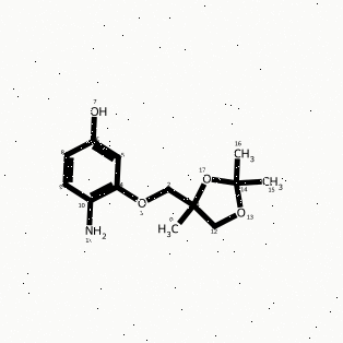 CC1(COc2cc(O)ccc2N)COC(C)(C)O1